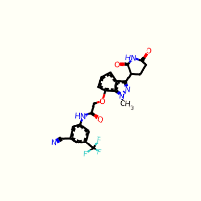 Cn1nc(C2CCC(=O)NC2=O)c2cccc(OCC(=O)Nc3cc(C#N)cc(C(F)(F)F)c3)c21